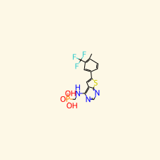 Cc1ccc(-c2cc3c(NCP(=O)(O)O)ncnc3s2)cc1C(F)(F)F